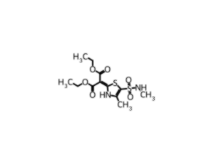 CCOC(=O)C(C(=O)OCC)=C1NC(C)=C(S(=O)(=O)NC)S1